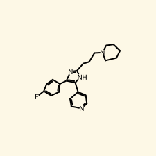 Fc1ccc(-c2nc(CCCN3CCCCC3)[nH]c2-c2ccncc2)cc1